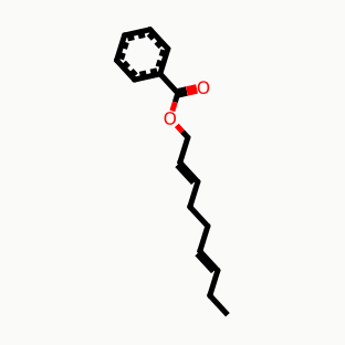 CCC=CCCC=CCOC(=O)c1ccccc1